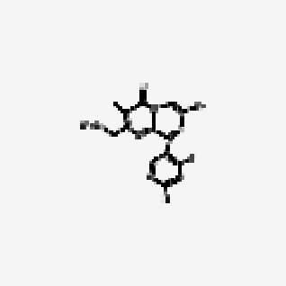 COCc1nc2c(-c3ccc(Cl)cc3F)nc(Br)cn2c(=O)c1C